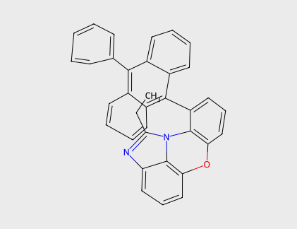 CCc1nc2cccc3c2n1-c1c(cccc1-c1c2ccccc2c(-c2ccccc2)c2ccccc12)O3